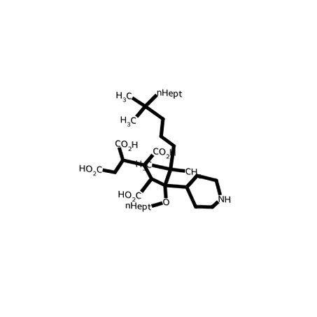 CCCCCCCOC(C1CCNCC1)(C(C(=O)O)C(C(=O)O)C(CC(=O)O)C(=O)O)C(C)(C)CCCC(C)(C)CCCCCCC